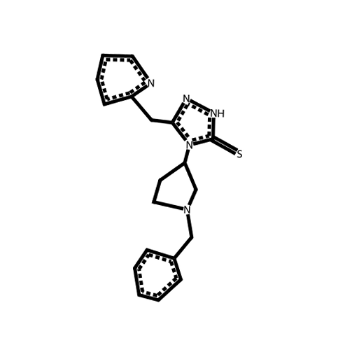 S=c1[nH]nc(Cc2ccccn2)n1C1CCN(Cc2ccccc2)C1